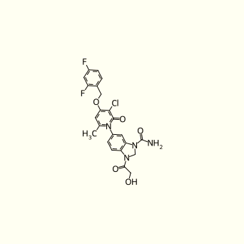 Cc1cc(OCc2ccc(F)cc2F)c(Cl)c(=O)n1-c1ccc2c(c1)N(C(N)=O)CN2C(=O)CO